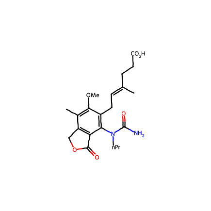 CCCN(C(N)=O)c1c(C/C=C(\C)CCC(=O)O)c(OC)c(C)c2c1C(=O)OC2